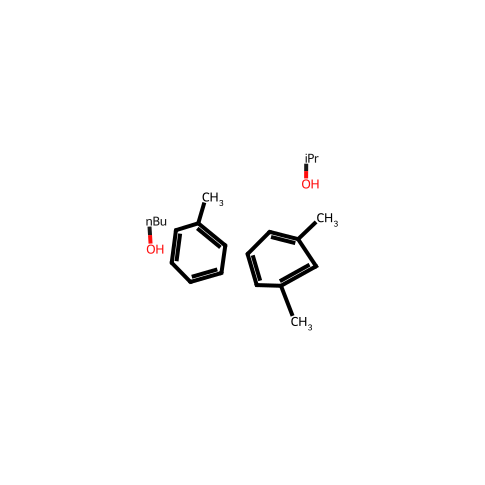 CC(C)O.CCCCO.Cc1cccc(C)c1.Cc1ccccc1